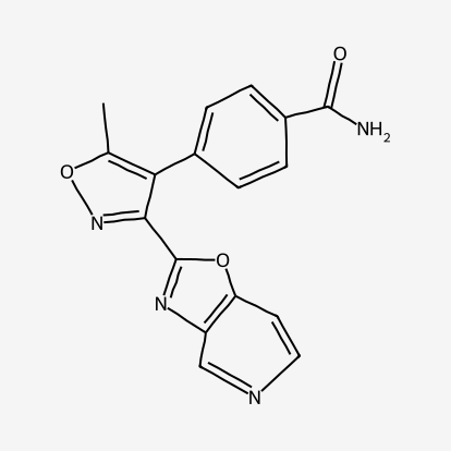 Cc1onc(-c2nc3cnccc3o2)c1-c1ccc(C(N)=O)cc1